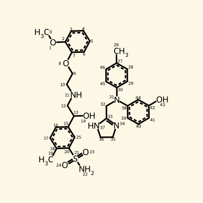 COc1ccccc1OCCNCC(O)c1ccc(C)c(S(N)(=O)=O)c1.Cc1ccc(N(CC2=NCCN2)c2cccc(O)c2)cc1